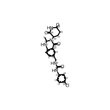 CC1Nc2ccc(CNC(=O)Nc3ccc(Cl)cc3)cc2C(=O)N1C1CCC(=O)NC1=O